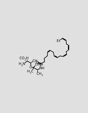 CC/C=C\C/C=C\C/C=C\C/C=C\C/C=C\CCCC(=O)N[C@@H](C)C(C)(OC)O[C@H](C)[C@H](N)C(=O)O